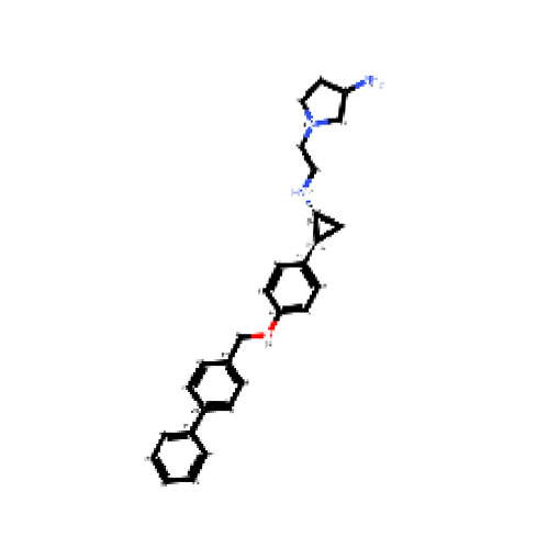 NC1CCN(CCN[C@@H]2C[C@H]2c2ccc(OCc3ccc(-c4ccccc4)cc3)cc2)C1